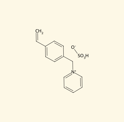 C=Cc1ccc(C[n+]2ccccc2)cc1.O=S(=O)([O-])O